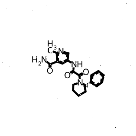 Cc1ncc(NC(=O)C(=O)N2CCCC[C@H]2c2ccccc2)cc1C(N)=O